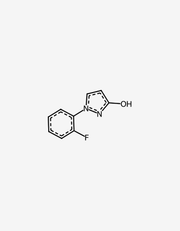 Oc1ccn(-c2ccccc2F)n1